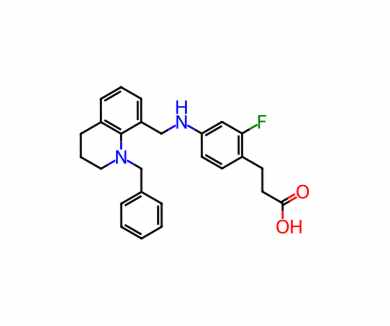 O=C(O)CCc1ccc(NCc2cccc3c2N(Cc2ccccc2)CCC3)cc1F